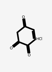 Cl.O=C1C=CC(=O)C(=O)C1